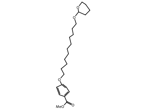 COC(=O)c1ccc(OCCCCCCCCCCCOC2CCCCO2)cc1